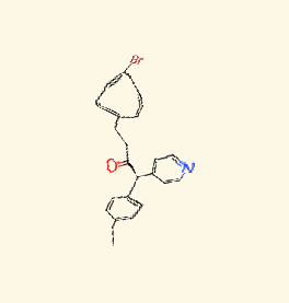 Cc1ccc([C@@H](C(=O)CCc2ccc(Br)cc2)c2ccncc2)cc1